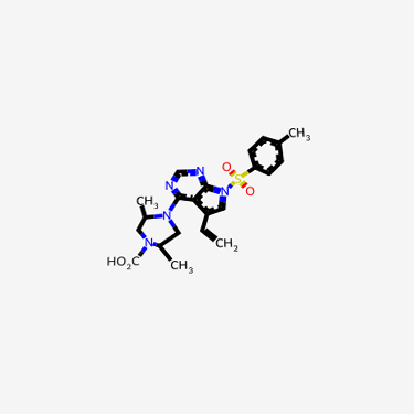 C=Cc1cn(S(=O)(=O)c2ccc(C)cc2)c2ncnc(N3CC(C)N(C(=O)O)CC3C)c12